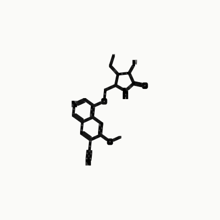 CCC1C(COc2cncc3cc(C#N)c(OC)cc23)NC(=O)C1F